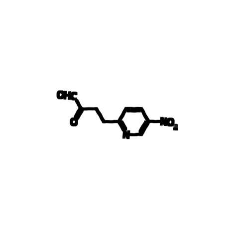 O=CC(=O)CCc1ccc([N+](=O)[O-])cn1